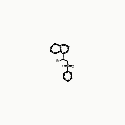 O=S(=O)(CC(Br)c1cccc2ccccc12)c1ccccc1